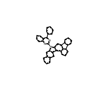 c1ccc(-c2nc(-n3c4cc5ccccc5cc4c4c5cccc6c5c(cc43)-c3ccccc3-6)nc3ccccc23)cc1